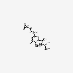 CCCC(CC)NC(=O)CCC(CC(C)CN)NCCC1CC1